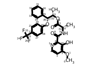 COc1ccnc(C(=O)N[C@@H](C)C(=O)O[C@@H](C)[C@H](Oc2ccc(C(F)(F)F)cc2)c2ccccc2)c1O